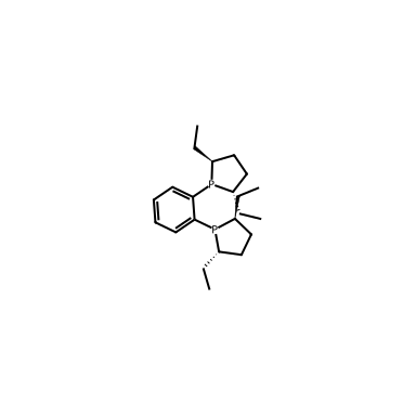 CC[C@H]1CC[C@H](CC)P1c1ccccc1P1[C@@H](CC)CC[C@@H]1CC